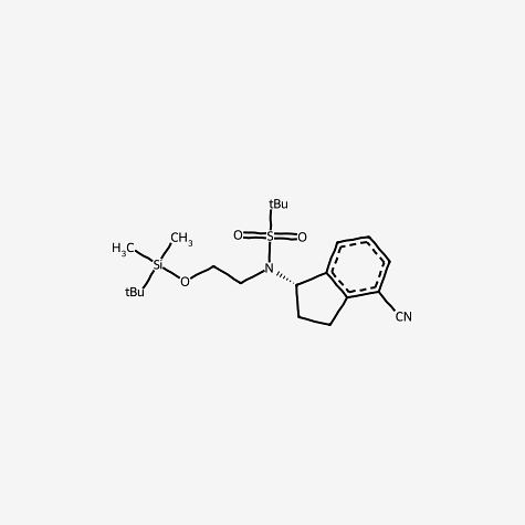 CC(C)(C)[Si](C)(C)OCCN([C@H]1CCc2c(C#N)cccc21)S(=O)(=O)C(C)(C)C